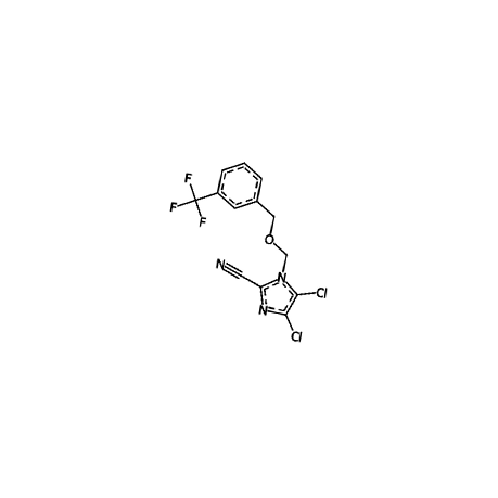 N#Cc1nc(Cl)c(Cl)n1COCc1cccc(C(F)(F)F)c1